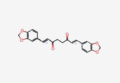 O=C(/C=C/c1ccc2c(c1)OCO2)CCC(=O)/C=C/c1ccc2c(c1)OCO2